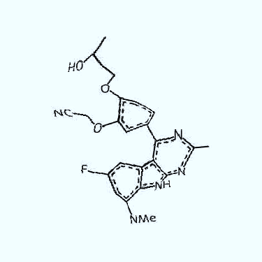 CNc1cc(F)cc2c1[nH]c1nc(C)nc(-c3ccc(OCC(C)O)c(OCC#N)c3)c12